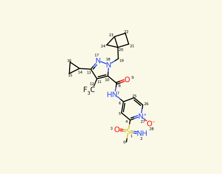 CS(=N)(=O)c1cc(NC(=O)c2c(C(F)(F)F)c(C3CC3)nn2CC23CCC2C3)cc[n+]1[O-]